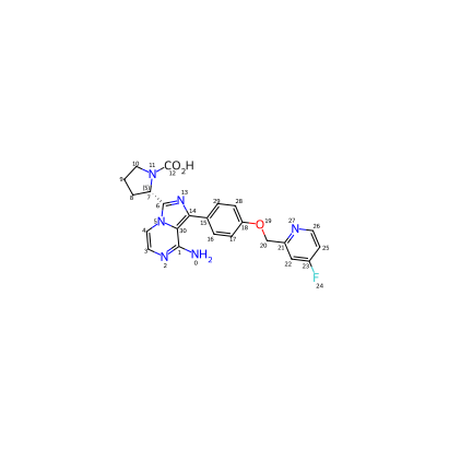 Nc1nccn2c([C@@H]3CCCN3C(=O)O)nc(-c3ccc(OCc4cc(F)ccn4)cc3)c12